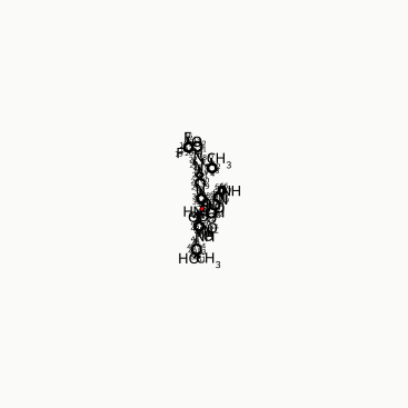 Cc1ccccc1[C@@H]1CN([C@@H]2CCOc3c(F)cc(F)cc32)CCN1C1CC2(CCN(c3ccc(C(=O)NS(=O)(=O)c4ccc(NCC5CCC(C)(O)CC5)c([N+](=O)[O-])c4)c(N4c5cc6cc[nH]c6nc5O[C@H]5COCC[C@@H]54)c3)CC2)C1